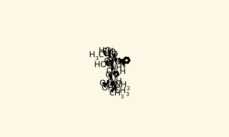 CC[C@H](C)[C@H](N)C(=O)N[C@@H](CCC(=O)O)C(=O)N1CCC[C@H]1C(=O)N[C@@H](CC(=O)O)C(=O)N[C@@H](Cc1c[nH]c2ccccc12)C(=O)N[C@@H](CC(C)C)C(=O)O